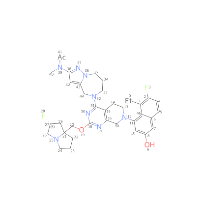 CCc1c(F)ccc2cc(O)cc(N3CCc4c(nc(OCC56CCCN5C[C@H](F)C6)nc4N4CCCn5nc(N(C)C(C)=O)cc5C4)C3)c12